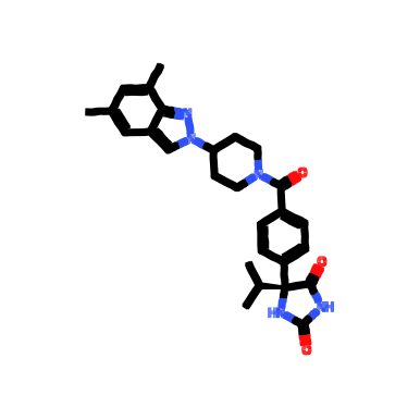 Cc1cc(C)c2nn(C3CCN(C(=O)c4ccc([C@@]5(C(C)C)NC(=O)NC5=O)cc4)CC3)cc2c1